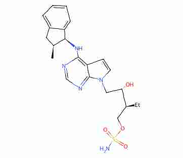 CC[C@@H](COS(N)(=O)=O)[C@@H](O)Cn1ccc2c(N[C@@H]3c4ccccc4C[C@@H]3C)ncnc21